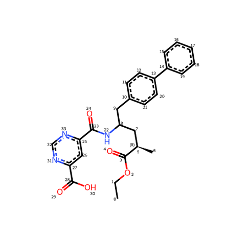 CCOC(=O)[C@H](C)CC(Cc1ccc(-c2ccccc2)cc1)NC(=O)c1cc(C(=O)O)ncn1